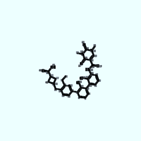 CCc1nc(-c2cccc(-c3cccc(NC(=O)c4cn(C)c(=O)n(C)c4=O)c3Cl)c2Cl)ccc1CN1CC(C(=O)O)C1